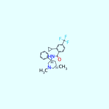 C[C@@H]1CN(C)C[C@](NC(=O)c2ccc(C(F)(F)F)cc2C2CC2)(c2ccccc2)C1